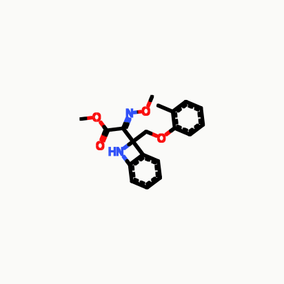 CO/N=C(/C(=O)OC)C1(COc2ccccc2C)Nc2ccccc21